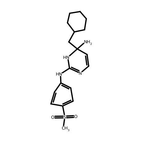 CS(=O)(=O)c1ccc(NC2=NC=CC(N)(CC3CCCCC3)N2)cc1